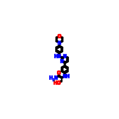 NC(=O)[C@@H](CO)Nc1ccc(-c2ccnc(Nc3ccc(N4CCOCC4)cc3)n2)cc1